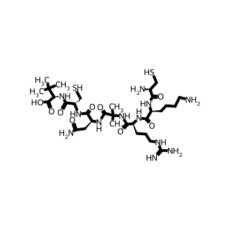 CC(C)(NC(=O)[C@H](CCCNC(=N)N)NC(=O)[C@H](CCCCN)NC(=O)[C@@H](N)CS)C(=O)N[C@@H](CC(N)=O)C(=O)N[C@@H](CS)C(=O)N[C@H](C(=O)O)C(C)(C)C